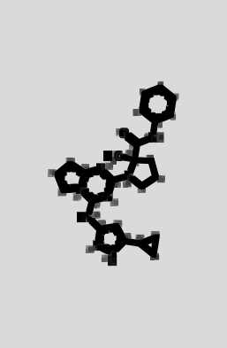 C[C@@]1(C(=O)Nc2ccccc2)CCCN1c1nc(Nc2cc(C3CC3)[nH]n2)n2cccc2n1